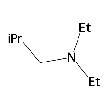 CCN(CC)CC(C)C